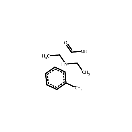 CCNCC.Cc1ccccc1.O=CO